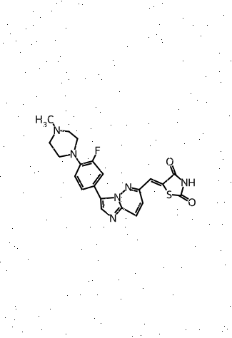 CN1CCN(c2ccc(-c3cnc4ccc(/C=C5\SC(=O)NC5=O)nn34)cc2F)CC1